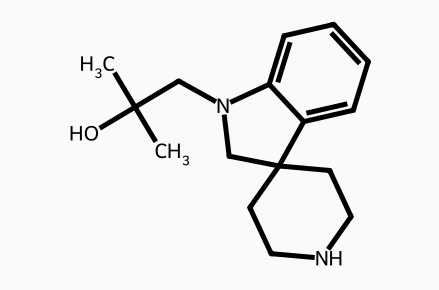 CC(C)(O)CN1CC2(CCNCC2)c2ccccc21